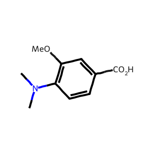 COc1cc(C(=O)O)ccc1N(C)C